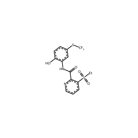 CCS(=O)(=O)c1cccnc1C(=O)Nc1cc(SC(F)(F)F)ccc1O